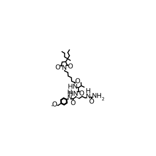 CCCC(C)(CCC)C1CC(=O)N(CCCCCC(=O)NC(C(=O)N[C@@H](CCCNC(N)=O)C(=O)Nc2ccc(COC)cc2)C(C)C)C1=O